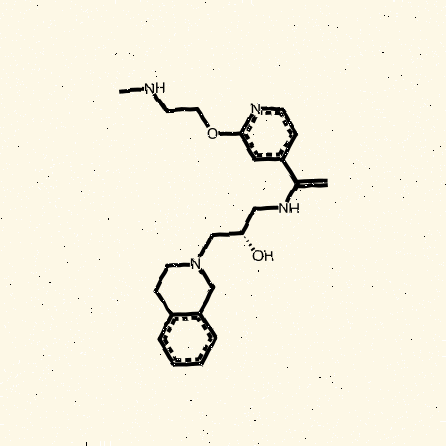 C=C(NC[C@H](O)CN1CCc2ccccc2C1)c1ccnc(OCCNC)c1